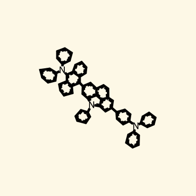 c1ccc(N(c2ccccc2)c2ccc(-c3cc4ccc5cc(-c6c7ccccc7c(N(c7ccccc7)c7ccccc7)c7ccccc67)cc6c5c4c(c3)n6-c3ccccc3)cc2)cc1